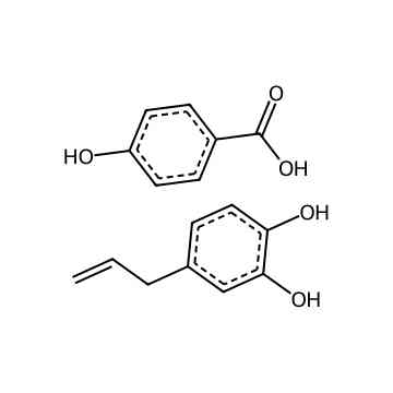 C=CCc1ccc(O)c(O)c1.O=C(O)c1ccc(O)cc1